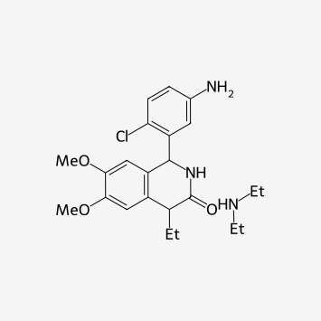 CCC1C(=O)NC(c2cc(N)ccc2Cl)c2cc(OC)c(OC)cc21.CCNCC